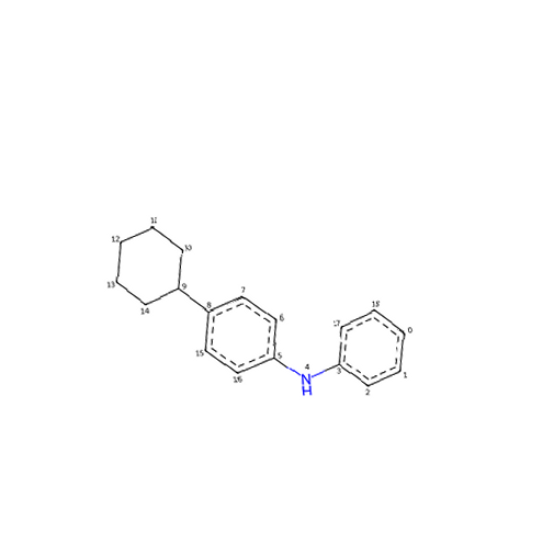 c1ccc(Nc2ccc(C3CCCCC3)cc2)cc1